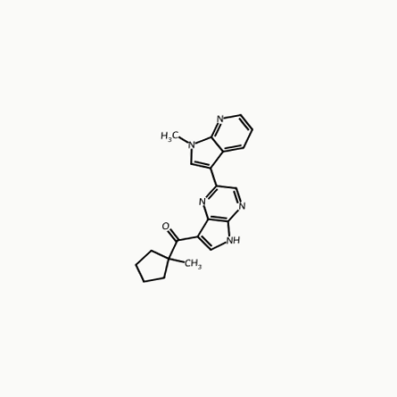 Cn1cc(-c2cnc3[nH]cc(C(=O)C4(C)CCCC4)c3n2)c2cccnc21